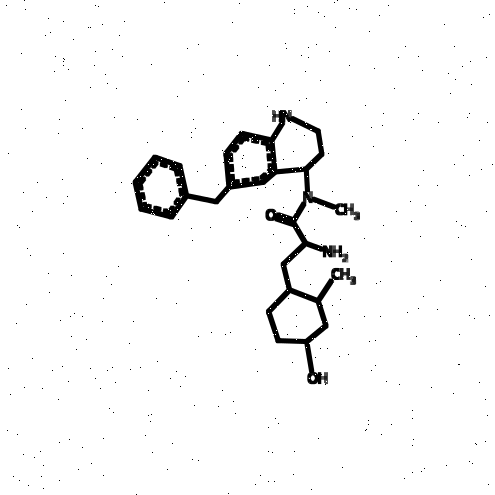 CC1CC(O)CCC1CC(N)C(=O)N(C)C1CCNc2ccc(Cc3ccccc3)cc21